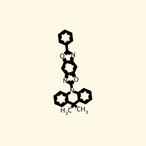 CC1(C)c2ccccc2N(c2nc3cc4oc(-c5ccccc5)nc4cc3o2)c2ccccc21